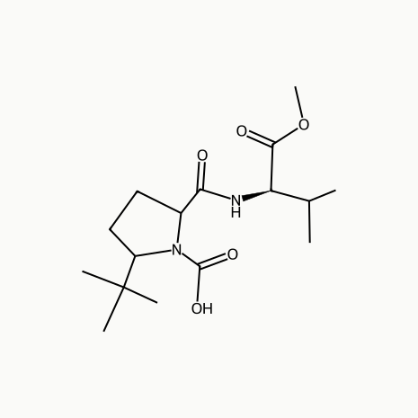 COC(=O)[C@H](NC(=O)C1CCC(C(C)(C)C)N1C(=O)O)C(C)C